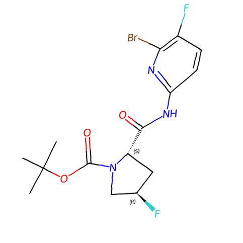 CC(C)(C)OC(=O)N1C[C@H](F)C[C@H]1C(=O)Nc1ccc(F)c(Br)n1